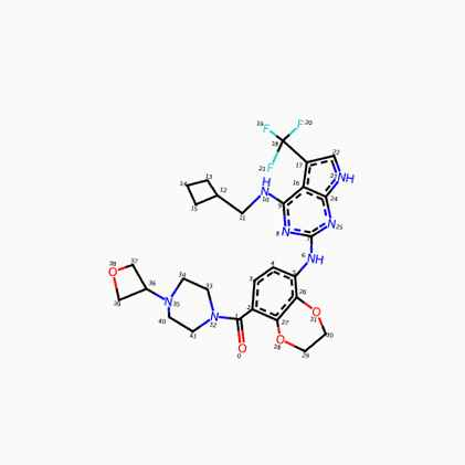 O=C(c1ccc(Nc2nc(NCC3CCC3)c3c(C(F)(F)F)c[nH]c3n2)c2c1OCCO2)N1CCN(C2COC2)CC1